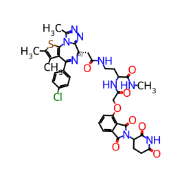 CNC(=O)C(CCNC(=O)C[C@@H]1N=C(c2ccc(Cl)cc2)c2c(sc(C)c2C)-n2c(C)nnc21)NC(=O)COc1cccc2c1C(=O)N(C1CCC(=O)NC1=O)C2=O